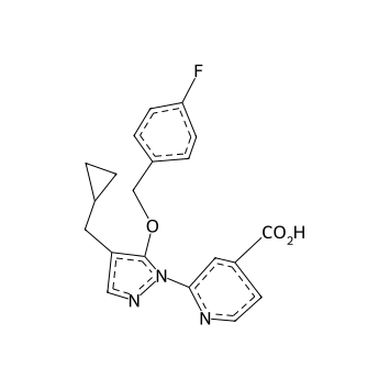 O=C(O)c1ccnc(-n2ncc(CC3CC3)c2OCc2ccc(F)cc2)c1